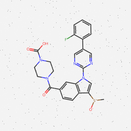 C[S+]([O-])c1cn(-c2ncc(-c3ccccc3F)cn2)c2cc(C(=O)N3CCN(C(=O)O)CC3)ccc12